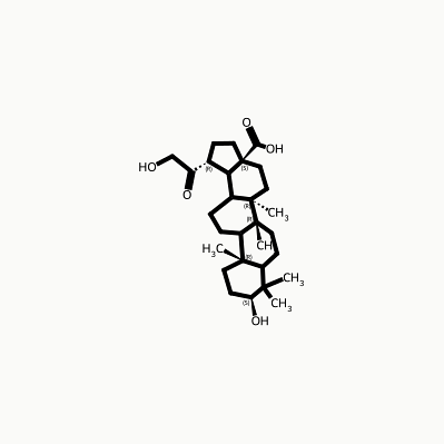 CC1(C)C2CC[C@]3(C)C(CCC4C5[C@H](C(=O)CO)CC[C@]5(C(=O)O)CC[C@]43C)[C@@]2(C)CC[C@@H]1O